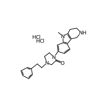 Cl.Cl.Cn1c2c(c3ccc(N4CCN(CCc5ccccc5)CC4=O)cc31)CNCC2